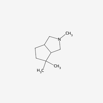 CN1CC2CCC(C)(C)C2C1